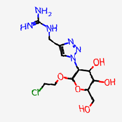 N=C(N)NCc1cn(C2C(OCCCl)OC(CO)C(O)C2O)nn1